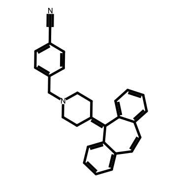 N#Cc1ccc(CN2CCC(=C3c4ccccc4C=Cc4ccccc43)CC2)cc1